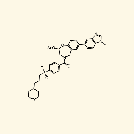 CC(=O)OC1CN(C(=O)c2ccc(S(=O)(=O)CCCN3CCOCC3)cc2)Cc2cc(-c3ccc4c(c3)ncn4C)ccc2O1